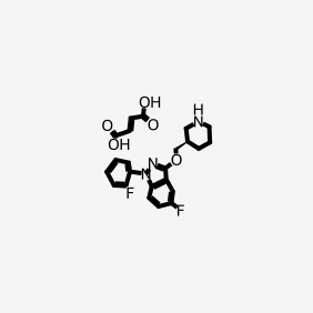 Fc1ccc2c(c1)c(OC[C@@H]1CCCNC1)nn2-c1ccccc1F.O=C(O)C=CC(=O)O